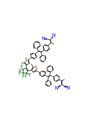 CC(=C(C#N)C#N)c1ccc(/C(=C(\c2ccccc2)c2ccc(-c3cc(C4=C(c5cc(-c6ccc(/C(=C(\c7ccccc7)c7ccc(C(C)=C(C#N)C#N)cc7)c7ccccc7)cc6)sc5C)C(F)(F)C(F)(F)C4(F)F)c(C)s3)cc2)c2ccccc2)cc1